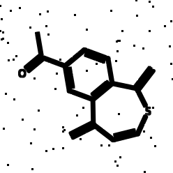 C=C1C=CSC(=C)c2ccc(C(C)=O)cc21